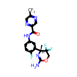 C[C@]1(c2cc(NC(=O)c3cnc(C(F)(F)F)cn3)ccc2F)N=C(N)OCC1(F)F